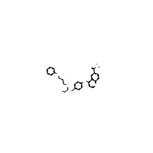 CN(C)C(=O)c1ccc2nccc(Oc3ccc(C[C@@H](CO)NC[C@H](O)COc4ccccc4)cc3)c2c1